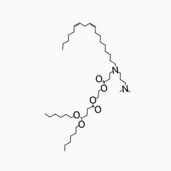 CCCCC/C=C\C/C=C\CCCCCCCCN(CCCN(C)C)CCC(=O)OCCOC(=O)CCC(OCCCCCC)OCCCCCC